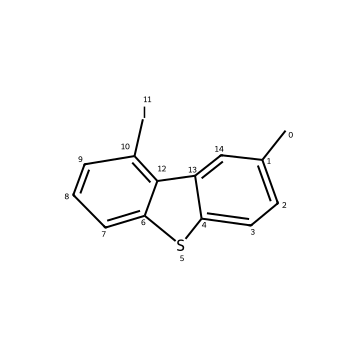 Cc1ccc2sc3cccc(I)c3c2c1